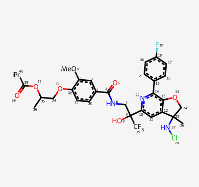 COc1cc(C(=O)NCC(O)(c2cc3c(c(-c4ccc(F)cc4)n2)OCC3(C)NCl)C(F)(F)F)ccc1OCC(C)OC(=O)C(C)C